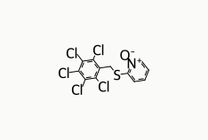 [O-][n+]1ccccc1SCc1c(Cl)c(Cl)c(Cl)c(Cl)c1Cl